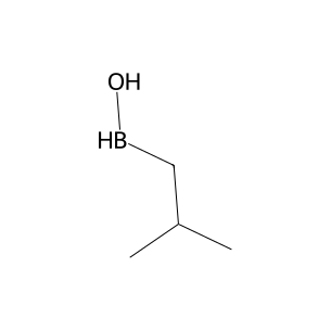 CC(C)CBO